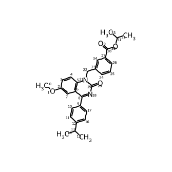 COc1ccc2c(c1)c(-c1ccc(C(C)C)cc1)nc(=O)n2Cc1cccc(C(=O)OC(C)C)c1